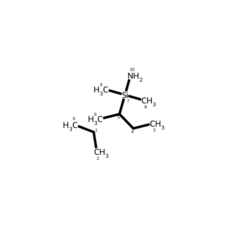 CCC.CCC(C)[Si](C)(C)N